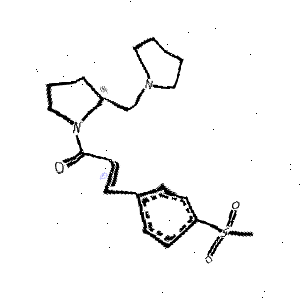 CS(=O)(=O)c1ccc(/C=C/C(=O)N2CCC[C@H]2CN2CCCC2)cc1